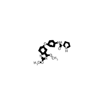 COc1nc(OC)c2cc(Oc3ccc(NC(=O)[C@@H]4CCCN4)cc3)ccc2n1